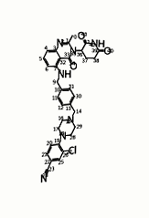 Cc1nc2cccc(NCc3ccc(CN4CCN(c5ccc(C#N)cc5Cl)CC4)cc3)c2c(=O)n1C1CCC(=O)NC1=O